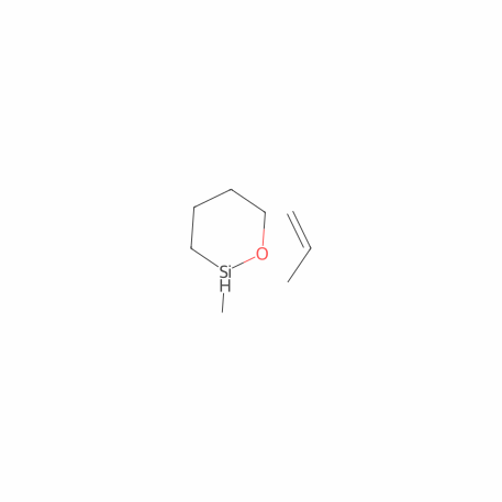 C=CC.C[SiH]1CCCCO1